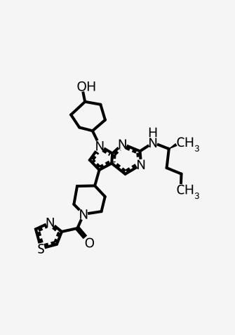 CCC[C@H](C)Nc1ncc2c(C3CCN(C(=O)c4cscn4)CC3)cn(C3CCC(O)CC3)c2n1